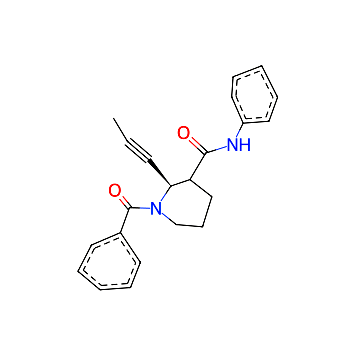 CC#C[C@H]1C(C(=O)Nc2ccccc2)CCCN1C(=O)c1ccccc1